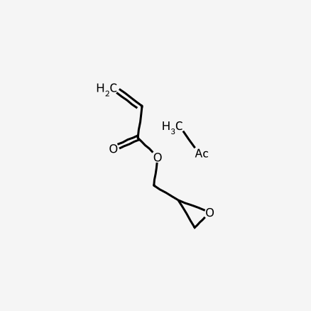 C=CC(=O)OCC1CO1.CC(C)=O